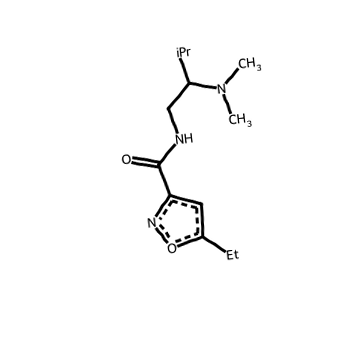 CCc1cc(C(=O)NCC(C(C)C)N(C)C)no1